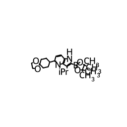 CC(C)c1c(B2OC(C)(C)C(C)(C)O2)[nH]c2ccc(C3CCC4(CC3)OCCO4)nc12